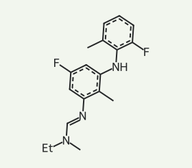 CCN(C)/C=N/c1cc(F)cc(Nc2c(C)cccc2F)c1C